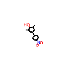 Cc1cc(-c2ccc([N+](=O)[O-])cc2)cc(C)c1O